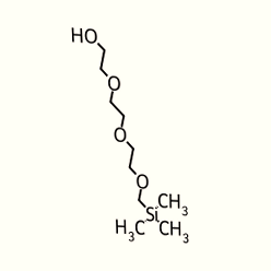 C[Si](C)(C)COCCOCCOCCO